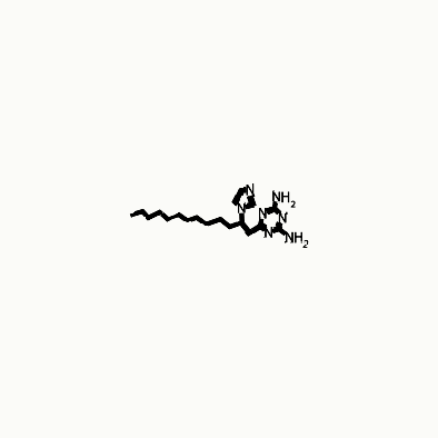 CCCCCCCCCCCC(Cc1nc(N)nc(N)n1)n1ccnc1